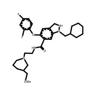 COCC1CCCN(CCNC(=O)c2cc3c(cc2Oc2ccc(F)cc2F)CNN3CC2CCCCC2)C1